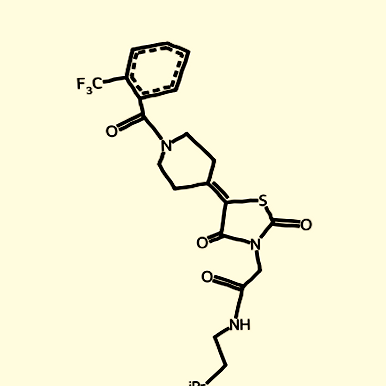 CC(C)CCNC(=O)CN1C(=O)SC(=C2CCN(C(=O)c3ccccc3C(F)(F)F)CC2)C1=O